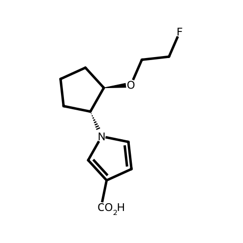 O=C(O)c1ccn([C@@H]2CCC[C@H]2OCCF)c1